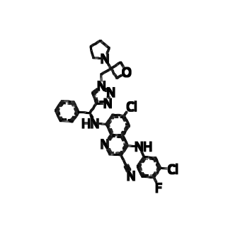 N#Cc1cnc2c(N[C@@H](c3ccccc3)c3cn(CC4(N5CCCC5)COC4)nn3)cc(Cl)cc2c1Nc1ccc(F)c(Cl)c1